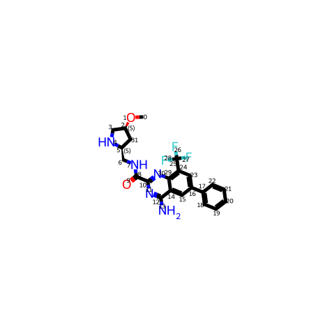 CO[C@@H]1CN[C@H](CNC(=O)c2nc(N)c3cc(-c4ccccc4)cc(C(F)(F)F)c3n2)C1